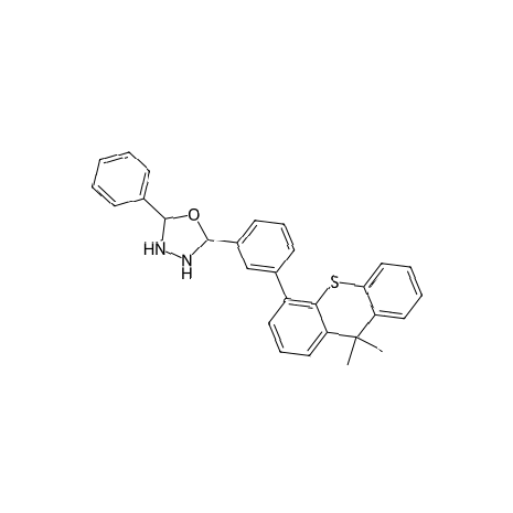 CC1(C)c2ccccc2Sc2c(-c3cccc(C4NNC(c5ccccc5)O4)c3)cccc21